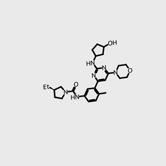 CC[C@@H]1CCN(C(=O)Nc2ccc(C)c(-c3cc(N4CCOCC4)nc(NC4CCC(O)C4)n3)c2)C1